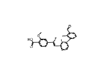 COc1cc(C(F)=Cc2cccc(-c3cccc(C=O)c3C)c2C)ccc1C(=O)O